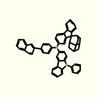 c1ccc(-n2c3ccccc3c3cc(N(c4ccc(-c5ccc6ccccc6c5)cc4)c4ccc5c(c4)C4(c6ccccc6-5)C5CC6CC(C5)CC4C6)ccc32)cc1